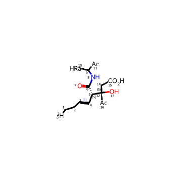 [2H]CC/C=C/[C@H](C(=O)N[CH]([RaH])C(C)=O)[C@@](O)(CC(=O)O)C(C)=O